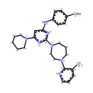 COc1ccc(Nc2cc(N3CCCCC3)nc(N3CCCN(c4ncccc4C(F)(F)F)CC3)n2)cc1